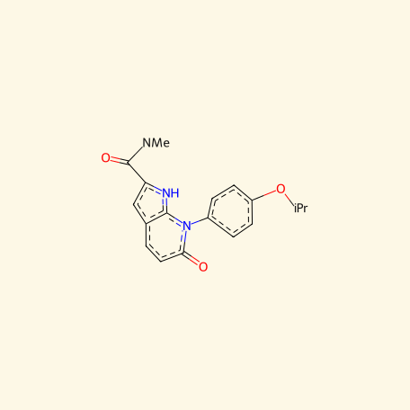 CNC(=O)c1cc2ccc(=O)n(-c3ccc(OC(C)C)cc3)c2[nH]1